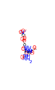 CC(=O)CCC(=O)N[C@H](C(=O)N[C@@H](CCCNC(N)=O)C(=O)Nc1ccc(COC(=O)Oc2ccc([N+](=O)[O-])cc2)cc1)C(C)C